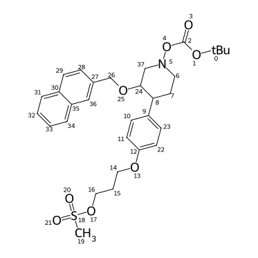 CC(C)(C)OC(=O)ON1CCC(c2ccc(OCCCOS(C)(=O)=O)cc2)C(OCc2ccc3ccccc3c2)C1